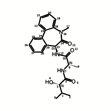 CC(C)[C@H](O)C(=O)N[C@@H](C)C(=O)N[C@@H]1C(=O)N(C)c2ccccc2-c2ccccc21